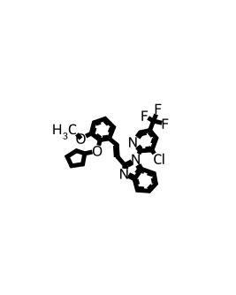 COc1cccc(/C=C/c2nc3ccccc3n2-c2ncc(C(F)(F)F)cc2Cl)c1OC1CCCC1